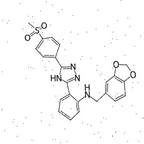 CS(=O)(=O)c1ccc(-c2nnc(-c3ccccc3NCc3ccc4c(c3)OCO4)[nH]2)cc1